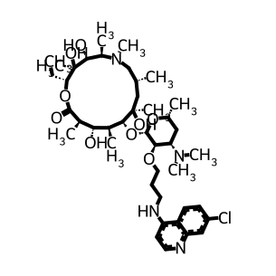 CC[C@H]1OC(=O)[C@H](C)[C@@H](O)[C@H](C)[C@@H](O[C@@H]2O[C@H](C)C[C@H](N(C)C)[C@H]2OCCCNc2ccnc3cc(Cl)ccc23)[C@](C)(O)C[C@@H](C)CN(C)[C@H](C)[C@@H](O)[C@]1(C)O